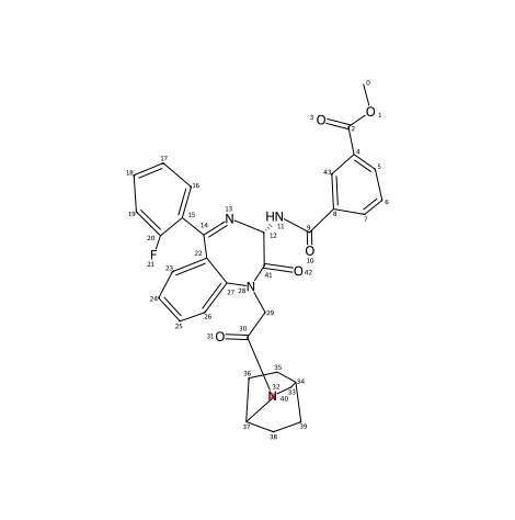 COC(=O)c1cccc(C(=O)N[C@H]2N=C(c3ccccc3F)c3ccccc3N(CC(=O)N3CC4CCC(CC4)C3)C2=O)c1